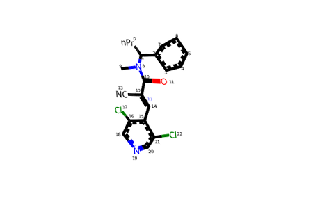 CCCC(c1ccccc1)N(C)C(=O)/C(C#N)=C/c1c(Cl)cncc1Cl